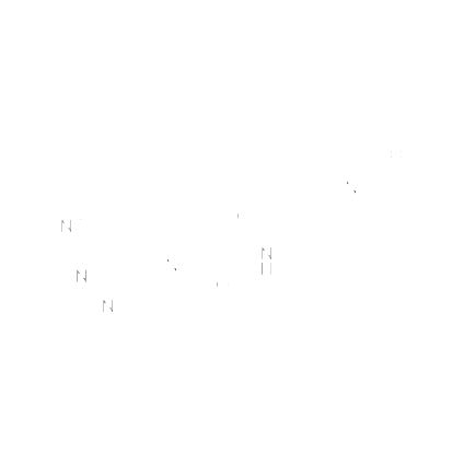 C[C@@H]1CN(c2ccc(C#N)c3ncncc23)CC(C(=O)NC2CCC(N3CCOCC3)CC2)O1